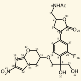 CC(=O)NCC1CN(c2ccc(C(O)(CO)COC3COc4nc([N+](=O)[O-])cn4C3)c(F)c2)C(=O)O1